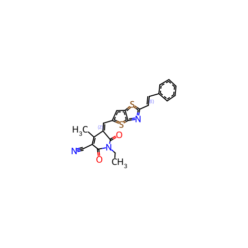 CCN1C(=O)C(C#N)=C(C)/C(=C/c2cc3sc(/C=C/c4ccccc4)nc3s2)C1=O